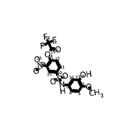 COc1ccc(NS(=O)(=O)c2ccc(OC(=O)C(F)(F)F)c([N+](=O)[O-])c2)cc1O